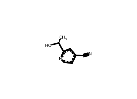 C[C@H](O)c1cc(C#N)ccn1